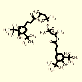 CC(CC(C)(C)OOC(C)(C)CC(C)OC(=O)CCc1cc(C(C)(C)C)c(O)c(C(C)(C)C)c1)OC(=O)CCc1cc(C(C)(C)C)c(O)c(C(C)(C)C)c1